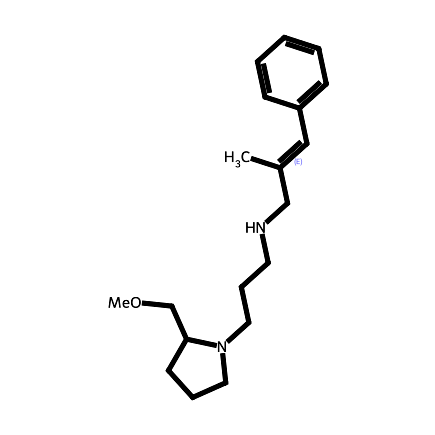 COCC1CCCN1CCCNC/C(C)=C/c1ccccc1